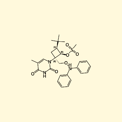 Cc1cn([C@@]2(CO[SiH](c3ccccc3)c3ccccc3)C[C@@H](C(C)(C)C)[C@H]2OS(C)(=O)=O)c(=O)[nH]c1=O